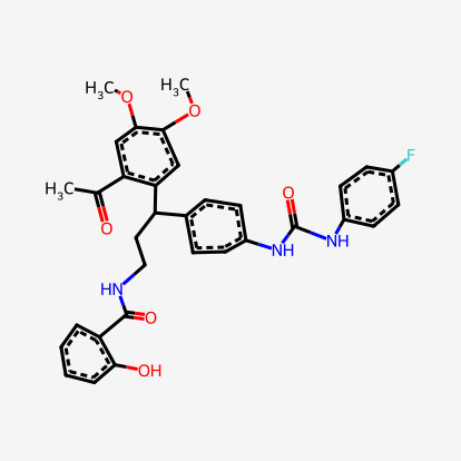 COc1cc(C(C)=O)c(C(CCNC(=O)c2ccccc2O)c2ccc(NC(=O)Nc3ccc(F)cc3)cc2)cc1OC